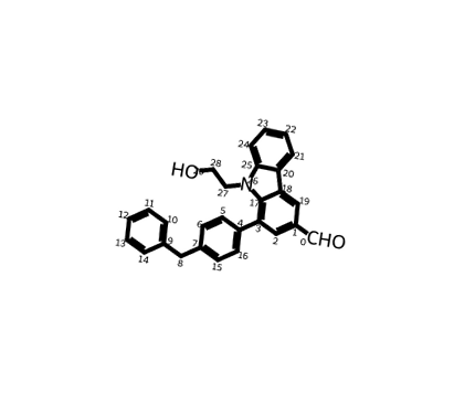 O=Cc1cc(-c2ccc(Cc3ccccc3)cc2)c2c(c1)c1ccccc1n2CCO